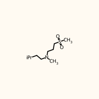 CC(C)CCN(C)CCCS(C)(=O)=O